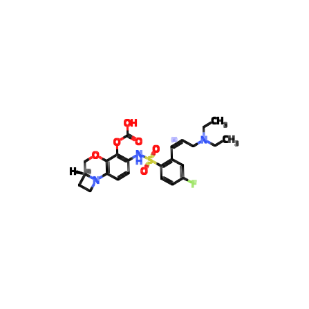 CCN(CC)C/C=C\c1cc(F)ccc1S(=O)(=O)Nc1ccc2c(c1OC(=O)O)OC[C@H]1CCN21